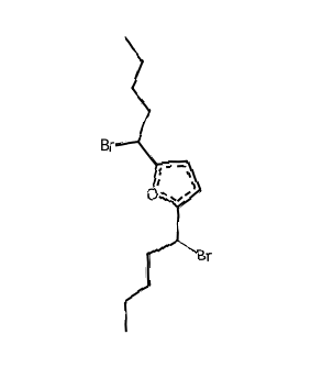 CCCCC(Br)c1ccc(C(Br)CCCC)o1